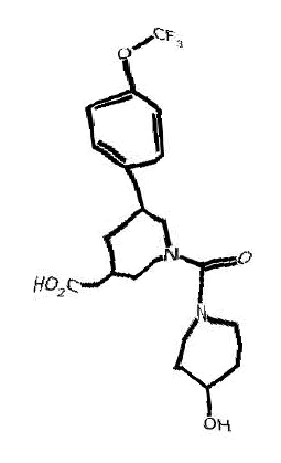 O=C(O)C1CC(c2ccc(OC(F)(F)F)cc2)CN(C(=O)N2CCC(O)CC2)C1